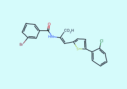 O=C(O)/C(=C\c1ccc(-c2ccccc2Cl)s1)NC(=O)c1cccc(Br)c1